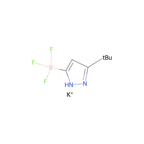 CC(C)(C)c1cc([B-](F)(F)F)[nH]n1.[K+]